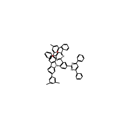 Cc1cc(C)cc(-c2ccc3c4ccc(-c5cc(C)cc(C)c5)cc4n(-c4ccc(-c5nc(-c6ccccc6)cc(-c6ccccc6)n5)cc4-c4nc(-c5ccccc5)cc(-c5ccccc5)n4)c3c2)c1